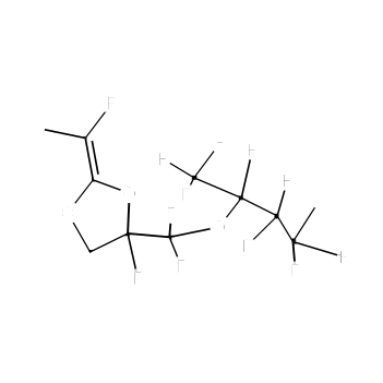 FC(F)=C1OCC(F)(C(F)(F)OC(F)(C(F)(F)F)C(F)(F)C(F)(F)F)O1